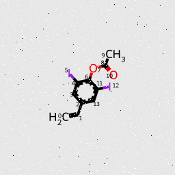 C=Cc1cc(I)c(OC(C)=O)c(I)c1